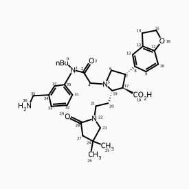 CCCCN(C(=O)CN1C[C@H](c2ccc3c(c2)CCO3)[C@@H](C(=O)O)[C@@H]1CCN1CC(C)(C)CC1=O)c1cccc(CN)c1